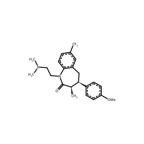 COc1ccc([C@@H]2Cc3cc(C(F)(F)F)ccc3N(CCN(C)C)C(=O)[C@@H]2C)cc1